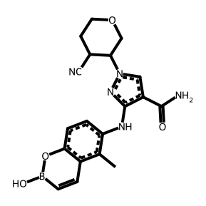 Cc1c(Nc2nn(C3COCCC3C#N)cc2C(N)=O)ccc2c1C=CB(O)O2